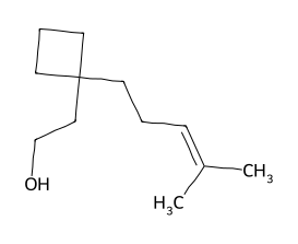 CC(C)=CCCC1(CCO)CCC1